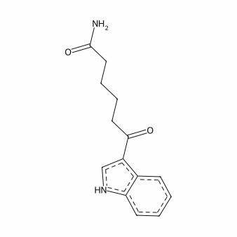 NC(=O)CCCCC(=O)c1c[nH]c2ccccc12